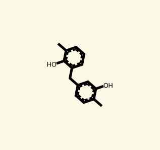 Cc1ccc(Cc2cccc(C)c2O)cc1O